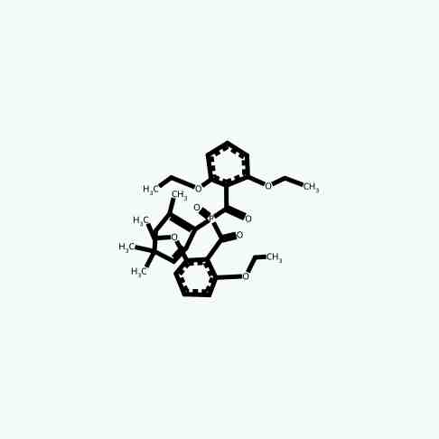 CCOc1cccc(OCC)c1C(=O)P(=O)(C(=O)c1c(OCC)cccc1OCC)C1=C(C)CC(C)(C)C=C1